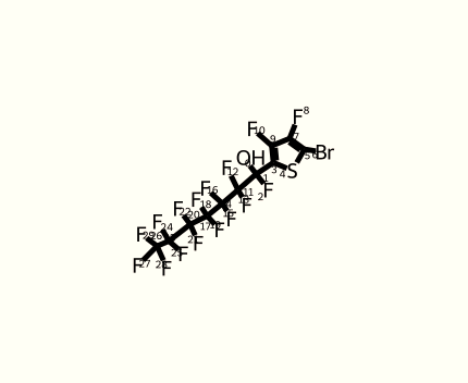 OC(F)(c1sc(Br)c(F)c1F)C(F)(F)C(F)(F)C(F)(F)C(F)(F)C(F)(F)C(F)(F)F